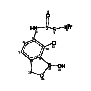 CCCSC(=O)Nc1ccc2c(c1Cl)B(O)OC2